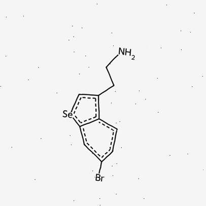 NCCc1c[se]c2cc(Br)ccc12